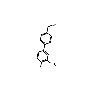 CCc1ccc(-c2ccc(CBr)cc2)cc1C